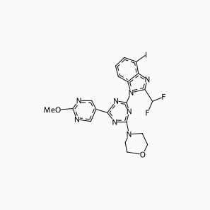 COc1ncc(-c2nc(N3CCOCC3)nc(-n3c(C(F)F)nc4c(I)cccc43)n2)cn1